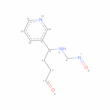 O=CCCC(NCN=O)c1cccnc1